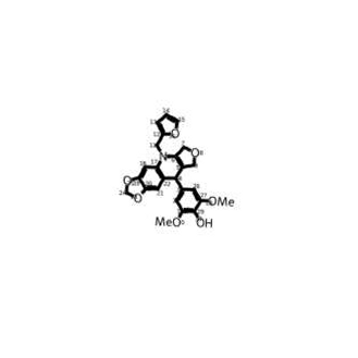 COc1cc(C2C3=C(COC3)N(Cc3ccco3)c3cc4c(cc32)OCO4)cc(OC)c1O